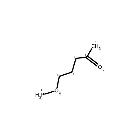 CC(=O)CCCOP